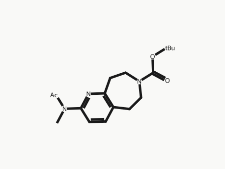 CC(=O)N(C)c1ccc2c(n1)CCN(C(=O)OC(C)(C)C)CC2